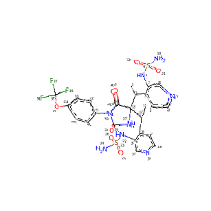 CC(c1ccncc1NS(N)(=O)=O)C1(C(C)c2ccncc2NS(N)(=O)=O)NC(=O)N(c2ccc(OC(F)(F)F)cc2)C1=O